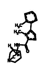 Cc1ccccc1-c1ccc(C(=O)N[C@H]2CN3CCC2CC3)n1C